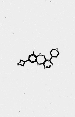 Clc1cc(C2CNC2)cc2c1OCc1c(ncnc1C1CCOCC1)N2